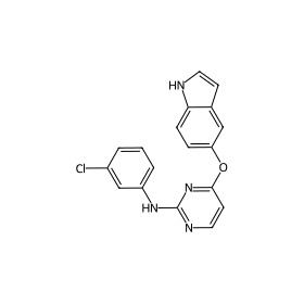 Clc1cccc(Nc2nccc(Oc3ccc4[nH]ccc4c3)n2)c1